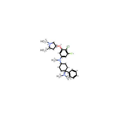 CN(c1cc(F)c(Cl)c(O[C@H]2C[C@@H](C(=O)O)N(C(=O)O)C2)c1)C1CCC(c2ccccc2)(N(C)C)CC1